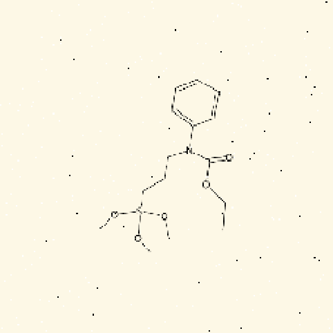 CCOC(=O)N(CCC[Si](OC)(OC)OC)c1ccccc1